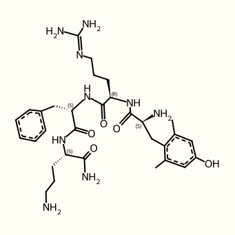 Cc1cc(O)cc(C)c1C[C@H](N)C(=O)N[C@H](CCCN=C(N)N)C(=O)N[C@@H](Cc1ccccc1)C(=O)N[C@@H](CCCN)C(N)=O